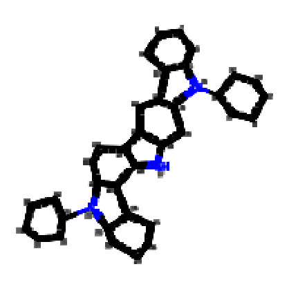 c1ccc(-n2c3ccccc3c3cc4c(cc32)[nH]c2c4ccc3c2c2ccccc2n3-c2ccccc2)cc1